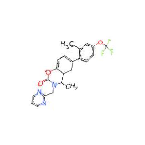 Cc1cc(OC(F)(F)F)ccc1C1=CC=C2OC(=O)N(Cc3ncccn3)C(C)C2C1